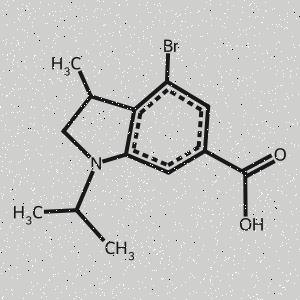 CC1CN(C(C)C)c2cc(C(=O)O)cc(Br)c21